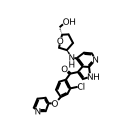 O=C(c1ccc(Oc2cccnc2)cc1Cl)c1c[nH]c2nccc(N[C@@H]3CC[C@@H](CO)OC3)c12